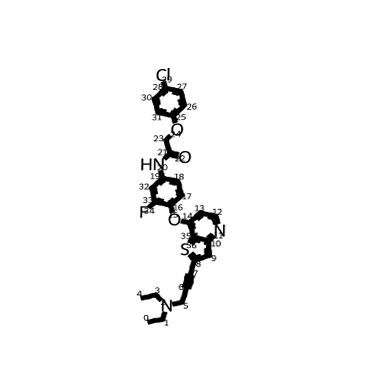 CCN(CC)CC#Cc1cc2nccc(Oc3ccc(NC(=O)COc4ccc(Cl)cc4)cc3F)c2s1